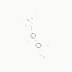 C=CN(/C=C\C)CC(O)COc1ccc(C(C)(C)c2ccc(OCC(CCl)N=O)c(C)c2)cc1